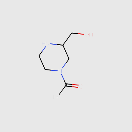 CCC(=O)N1CCNC(CO)C1